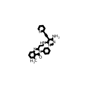 Cc1cccc2nc(CCNc3ncnc(N)c3C#Cc3ccccn3)n(-c3ccccc3)c(=O)c12